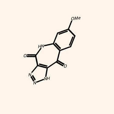 COc1ccc2c(=O)c3[nH]nnc3c(=O)[nH]c2c1